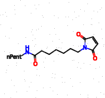 CCCCCNC(=O)CCCCCCN1C(=O)C=CC1=O